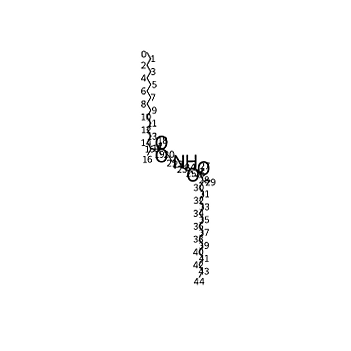 CCCCCCCCCCCCCCCC(C)C(=O)OCCNCCOC(=O)C(C)CCCCCCCCCCCCCCC